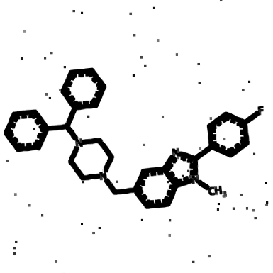 Cn1c(-c2ccc(F)cc2)nc2cc(CN3CCN(C(c4ccccc4)c4ccccc4)CC3)ccc21